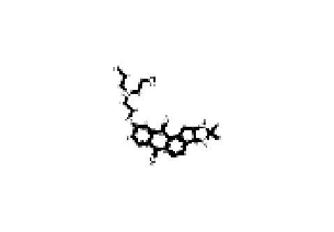 CC1(C)OC2Cc3c(ccc4c3C(=O)c3cc(OCCN(CCCl)CCCl)ccc3C4=O)C2O1